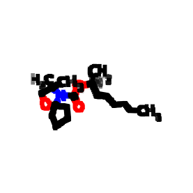 CCCCCC[C@H](C)OC(=O)N1C(C)(C)COC12CCCC2